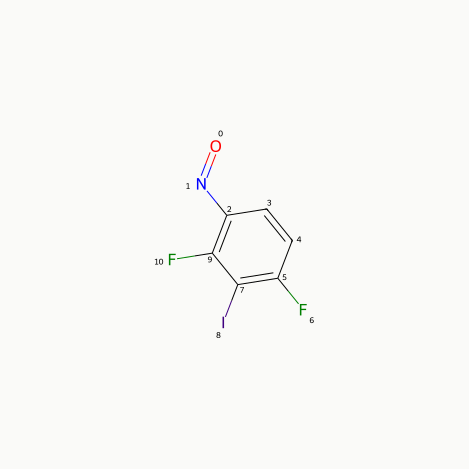 O=Nc1ccc(F)c(I)c1F